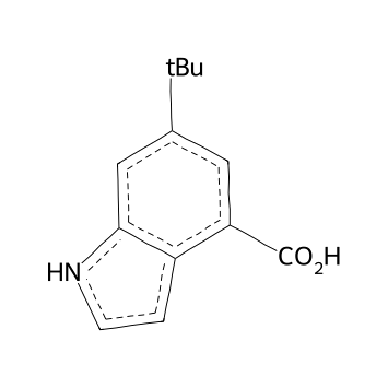 CC(C)(C)c1cc(C(=O)O)c2cc[nH]c2c1